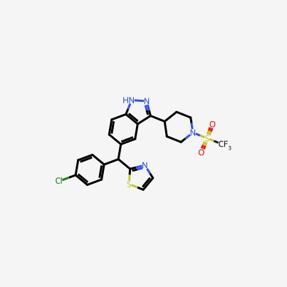 O=S(=O)(N1CCC(c2n[nH]c3ccc(C(c4ccc(Cl)cc4)c4nccs4)cc23)CC1)C(F)(F)F